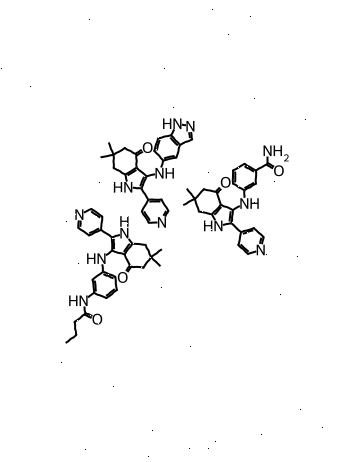 CC1(C)CC(=O)c2c([nH]c(-c3ccncc3)c2Nc2ccc3[nH]ncc3c2)C1.CC1(C)CC(=O)c2c([nH]c(-c3ccncc3)c2Nc2cccc(C(N)=O)c2)C1.CCCC(=O)Nc1cccc(Nc2c(-c3ccncc3)[nH]c3c2C(=O)CC(C)(C)C3)c1